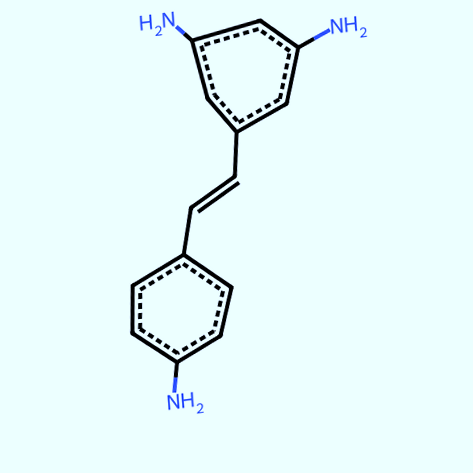 Nc1ccc(C=Cc2cc(N)cc(N)c2)cc1